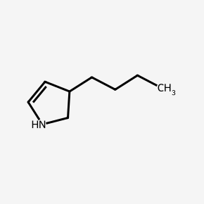 CCCCC1C=CNC1